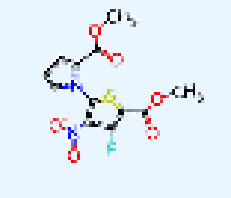 COC(=O)c1sc(-n2cccc2C(=O)OC)c([N+](=O)[O-])c1F